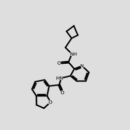 O=C(Nc1cccnc1C(=O)NCC1CCC1)c1cccc2c1OCC2